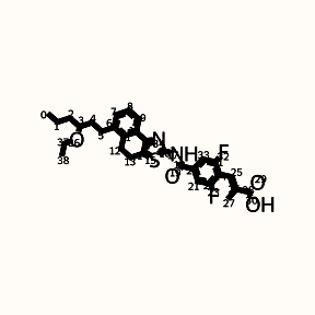 CCCC(CCc1cccc2c1CCc1sc(NC(=O)c3cc(F)c(C=C(C)C(=O)O)c(F)c3)nc1-2)OCC